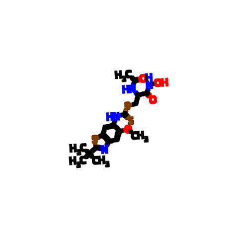 COc1cc2nc(C(C)(C)C)sc2cc1NC(=S)SCC(NC(C)=O)C(=O)NO